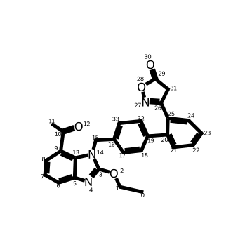 CCOc1nc2cccc(C(C)=O)c2n1Cc1ccc(-c2ccccc2C2=NOC(=O)C2)cc1